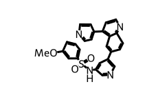 COc1cccc(S(=O)(=O)Nc2cncc(-c3ccc4nccc(-c5ccncc5)c4c3)c2)c1